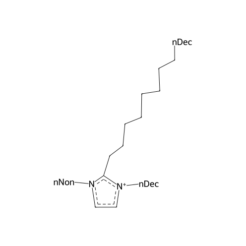 CCCCCCCCCCCCCCCCCCc1n(CCCCCCCCC)cc[n+]1CCCCCCCCCC